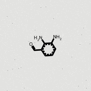 Nc1cccc(C=O)c1N